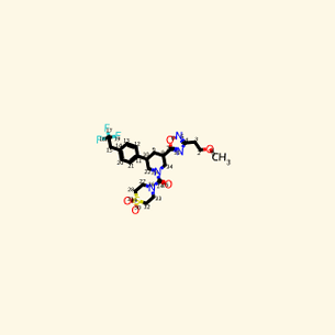 COCCc1noc(C2CC(c3ccc(CC(F)(F)F)cc3)CN(C(=O)N3CCS(=O)(=O)CC3)C2)n1